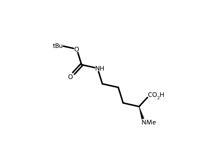 CN[C@@H](CCCNC(=O)OC(C)(C)C)C(=O)O